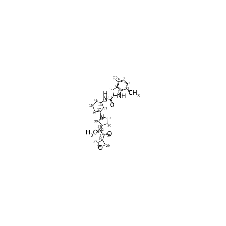 Cc1ccc(F)c2c1NC(C(=O)N[C@@H]1CCCC(N3CCC(N(C)C(=O)C4COC4)C3)C1)C2